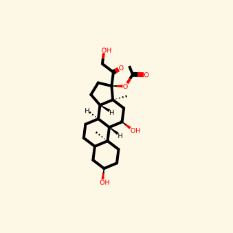 CC(=O)O[C@]1(C(=O)CO)CC[C@H]2[C@@H]3CCC4C[C@H](O)CC[C@]4(C)[C@H]3[C@H](O)C[C@@]21C